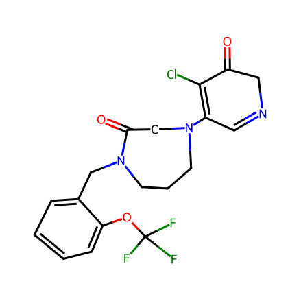 O=C1CN=CC(N2CCCN(Cc3ccccc3OC(F)(F)F)C(=O)C2)=C1Cl